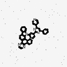 c1ccc(-c2cc(-c3ccncc3)nc(-c3cccc(-n4c5ccccc5c5ccc6c7nccnc7c7ccccc7c6c54)c3)n2)cc1